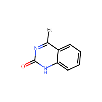 CCc1nc(=O)[nH]c2ccccc12